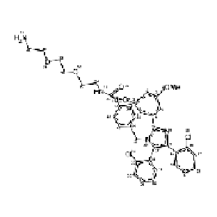 COc1cc(OC)cc(-c2nc(-c3ccccc3Cl)c(-c3ccccc3Cl)n2Cc2ccc(C(=O)NCCOCCOCCN)cc2)c1